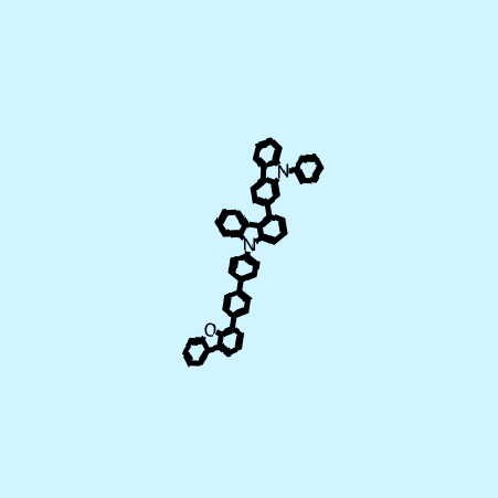 c1ccc(-n2c3ccccc3c3ccc(-c4cccc5c4c4ccccc4n5-c4ccc(-c5ccc(-c6cccc7c6oc6ccccc67)cc5)cc4)cc32)cc1